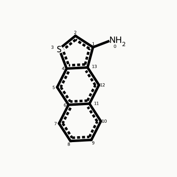 Nc1csc2cc3ccccc3cc12